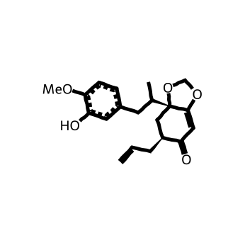 C=CC[C@H]1C[C@]2(C(C)Cc3ccc(OC)c(O)c3)OCOC2=CC1=O